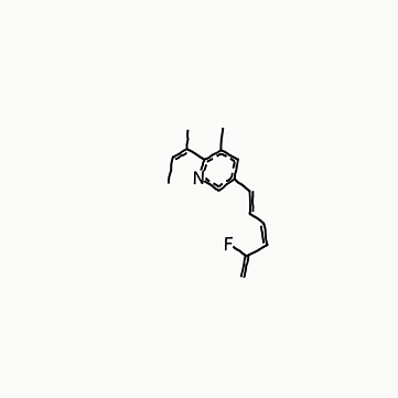 C=C(F)/C=C\C=Cc1cnc(/C(C)=C\C)c(C)c1